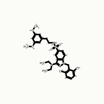 CCN(CC)c1nn(Cc2c(Cl)cccc2Cl)c2ccc(S(=O)(=O)NCCc3cc(OC)cc(OC)c3)cc12